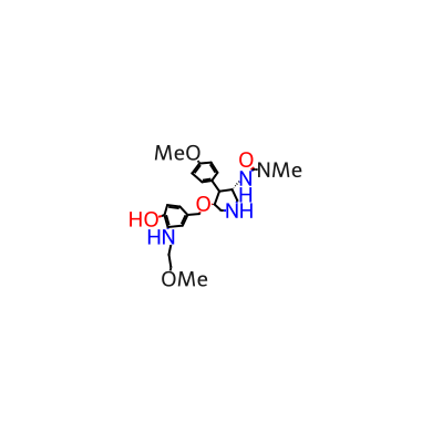 CNC(=O)NC[C@@H]1CNC[C@H](OCc2ccc(O)c(NCCCOC)c2)C1c1ccc(OC)cc1